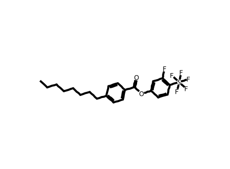 CCCCCCCCc1ccc(C(=O)Oc2ccc(S(F)(F)(F)(F)F)c(F)c2)cc1